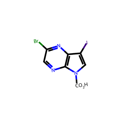 O=C(O)n1cc(I)c2nc(Br)cnc21